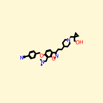 CN(C)Cc1c(OCc2ccc(C#N)cc2)ccc2c(CCC3CCN(CC4(CO)CC4)CC3)noc12